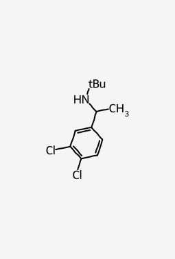 CC(NC(C)(C)C)c1ccc(Cl)c(Cl)c1